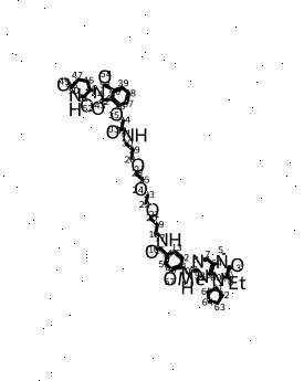 CC[C@@H]1C(=O)N(C)c2cnc(Nc3ccc(C(=O)NCCCOCCOCCOCCCNC(=O)COc4cccc5c4C(=O)N(C4CCC(=O)NC4=O)C5=O)cc3OC)nc2N1C1CCCC1